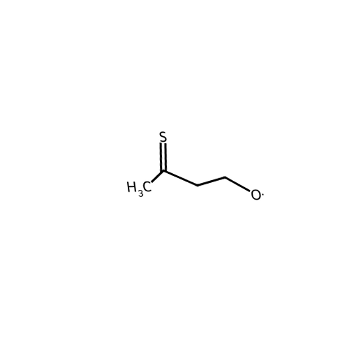 CC(=S)CC[O]